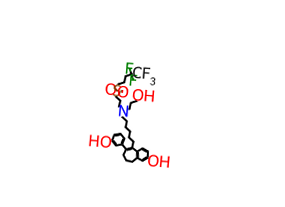 O=S(=O)(CCCN(CCCO)CCCCCCC1=C(c2cccc(O)c2)CCCc2cc(O)ccc21)CCCC(F)(F)C(F)(F)F